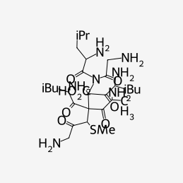 CCC(C)C(N)C(=O)C(C(=O)C(C)N)(C(SC)C(=O)CN)C(C(=O)O)(C(=O)C(N)C(C)CC)N(C(=O)CN)C(=O)C(N)CC(C)C